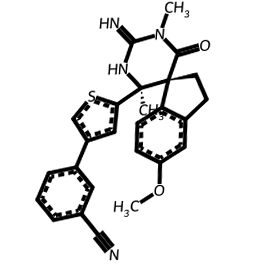 COc1ccc2c(c1)CC[C@@]21C(=O)N(C)C(=N)N[C@]1(C)c1cc(-c2cccc(C#N)c2)cs1